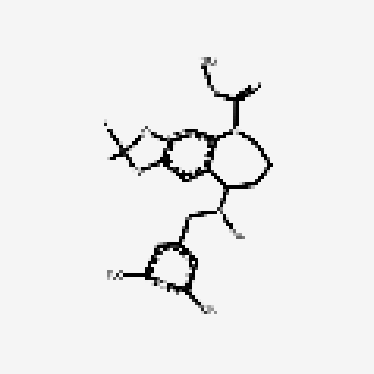 CC(=O)N(Cc1cc(C(F)(F)F)cc(C(F)(F)F)c1)C1CCCN(C(=O)OC(C)(C)C)c2cc3c(cc21)OC(F)(F)O3